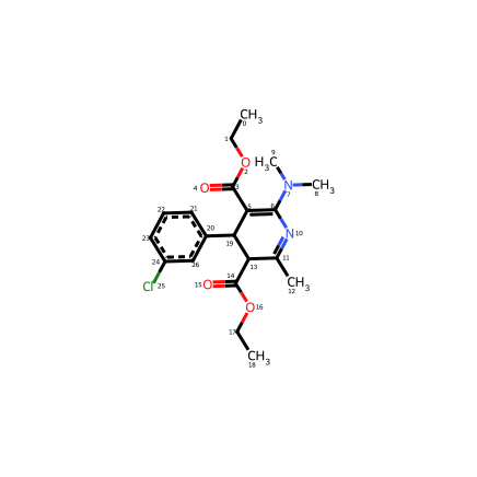 CCOC(=O)C1=C(N(C)C)N=C(C)C(C(=O)OCC)C1c1cccc(Cl)c1